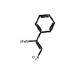 CNC(=C[N+](=O)[O-])c1ccccc1